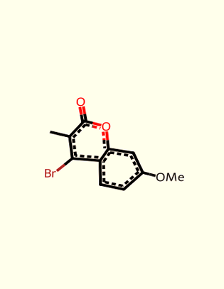 COc1ccc2c(Br)c(C)c(=O)oc2c1